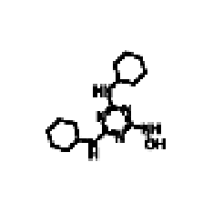 ONc1nc(NC2CCCCC2)nc(NC2CCCCC2)n1